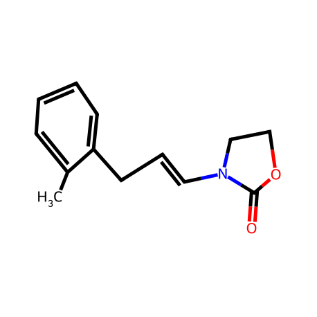 Cc1ccccc1CC=CN1CCOC1=O